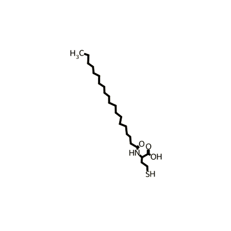 CCCCCCCCCCCCCCCCCCCC(=O)NC(CCS)C(=O)O